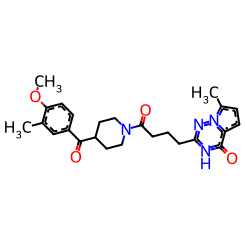 COc1ccc(C(=O)C2CCN(C(=O)CCCc3nn4c(C)ccc4c(=O)[nH]3)CC2)cc1C